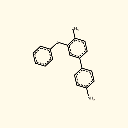 Cc1ccc(-c2ccc(N)cc2)cc1Sc1ccccc1